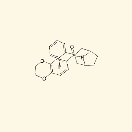 O=C(c1ccc2c(c1)OCCO2)N1C2CCC1CC(c1ccccc1F)C2